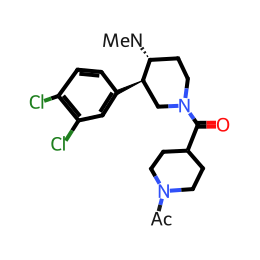 CN[C@@H]1CCN(C(=O)C2CCN(C(C)=O)CC2)C[C@H]1c1ccc(Cl)c(Cl)c1